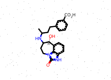 CC(CCc1cccc(C(=O)O)c1)NC1CCn2c(=O)[nH]c3cccc(c32)[C@H]1O